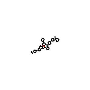 CC(C)(C)c1ccc(-c2ccc3c(c2)C(C)(C)c2ccc(-c4ccccc4N(c4ccc(-c5ccc6sc7ccccc7c6c5)cc4)c4cccc(-c5ccccc5)c4)cc2-3)cc1